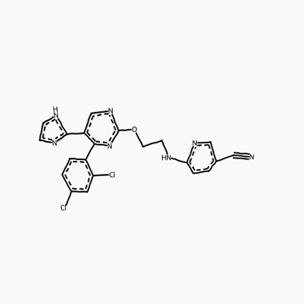 N#Cc1ccc(NCCOc2ncc(-c3ncc[nH]3)c(-c3ccc(Cl)cc3Cl)n2)nc1